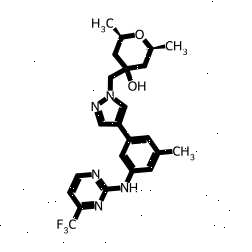 Cc1cc(Nc2nccc(C(F)(F)F)n2)cc(-c2cnn(CC3(O)C[C@@H](C)O[C@@H](C)C3)c2)c1